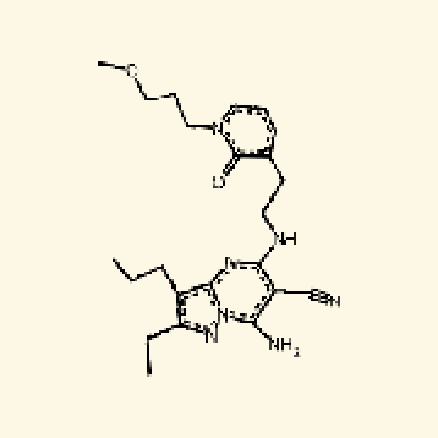 CCCc1c(CC)nn2c(N)c(C#N)c(NCCc3cccn(CCCOC)c3=O)nc12